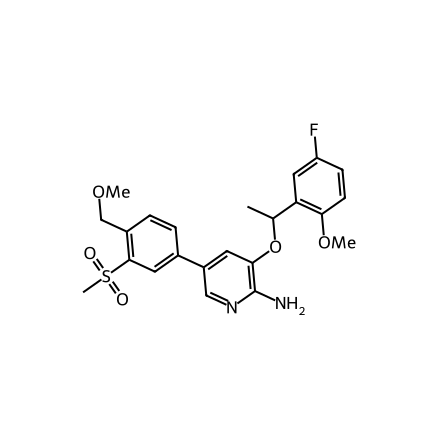 COCc1ccc(-c2cnc(N)c(OC(C)c3cc(F)ccc3OC)c2)cc1S(C)(=O)=O